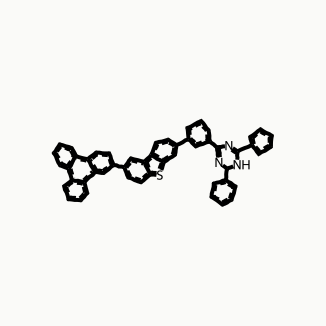 c1ccc(C2=NC(c3cccc(-c4ccc5c(c4)sc4ccc(-c6ccc7c8ccccc8c8ccccc8c7c6)cc45)c3)=NC(c3ccccc3)N2)cc1